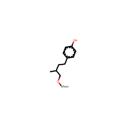 CCCCCOCC(C)CCc1ccc(O)cc1